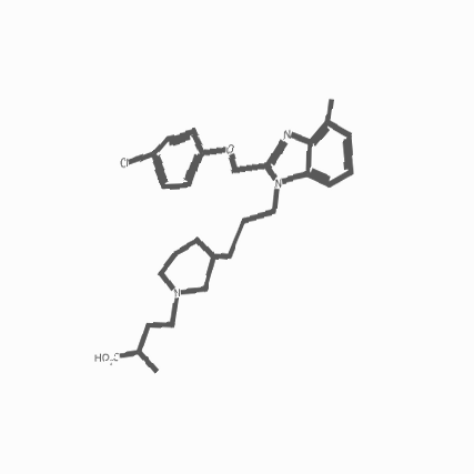 Cc1cccc2c1nc(COc1ccc(Cl)cc1)n2CCCC1CCCN(CCC(C)C(=O)O)C1